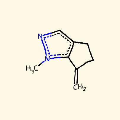 C=C1CCc2cnn(C)c21